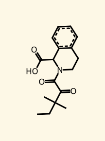 CCC(C)(C)C(=O)C(=O)N1CCc2ccccc2C1C(=O)O